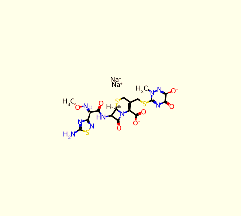 CO/N=C(/C(=O)NC1C(=O)N2C(C(=O)[O-])=C(CSc3nc(=O)c([O-])nn3C)CS[C@H]12)c1nsc(N)n1.[Na+].[Na+]